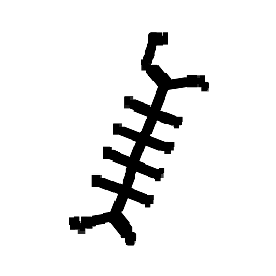 NC(=O)C(F)(F)C(F)(F)C(F)(F)C(F)(F)C(N)=NO